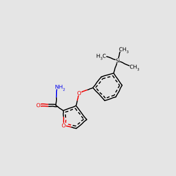 C[Si](C)(C)c1cccc(Oc2ccoc2C(N)=O)c1